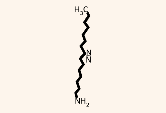 CCCCCCCCCCCCCCCN.N#N